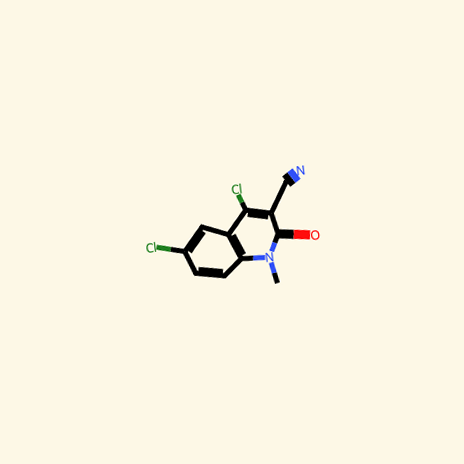 Cn1c(=O)c(C#N)c(Cl)c2cc(Cl)ccc21